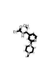 CCC(=O)N[C@H](CO)c1ccnc(N2CCN(C)CC2)c1